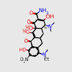 CCN(C)c1cc([N+](=O)[O-])c(O)c2c1CC1CC3[C@H](N(C)C)C(O)=C(C(N)=O)C(=O)C3(O)C(O)=C1C2=O